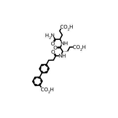 NC(=O)C(CCC(=O)O)NC(=O)[C@H](CCC(=O)O)NC(=O)CCc1ccc(-c2cccc(C(=O)O)c2)cc1